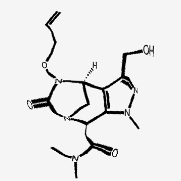 C=CCON1C(=O)N2C[C@@H]1c1c(CO)nn(C)c1[C@H]2C(=O)N(C)C